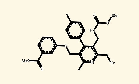 COC(=O)c1cccc(OCc2c(C)nc(CC(C)C)c(CNC(=O)OC(C)(C)C)c2-c2ccc(C)cc2)c1